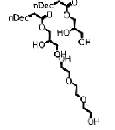 CCCCCCCCCCCC(=O)OCC(O)CO.CCCCCCCCCCCC(=O)OCC(O)CO.OCCOCCOCCO